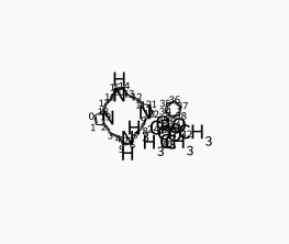 C1=Cc2cc3ccc(cc4nc(cc5ccc(cc1n2)[nH]5)C=C4)[nH]3.C[O][Fe]([O]C)([O]C)([O]C)[c]1ccccc1